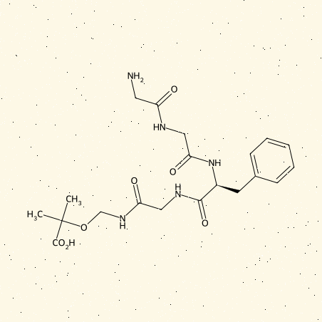 CC(C)(OCNC(=O)CNC(=O)[C@H](Cc1ccccc1)NC(=O)CNC(=O)CN)C(=O)O